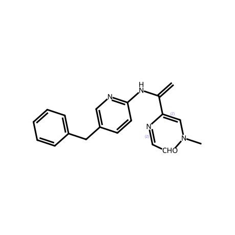 C=C(Nc1ccc(Cc2ccccc2)cn1)C(=C/N(C)C)/N=C\C=O